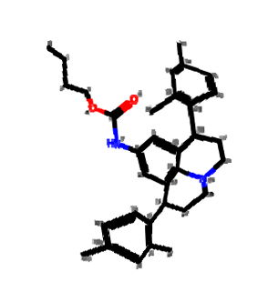 CCCCOC(=O)Nc1cc2c3c(c1)C(c1ccc(C)cc1C)CCN3CCC2c1ccc(C)cc1C